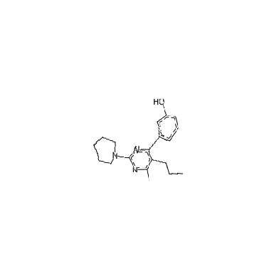 CCCc1c(C)nc(N2CCCCC2)nc1-c1cccc(O)c1